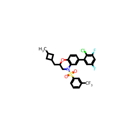 CC1CC(CC2CN(S(=O)(=O)c3cccc(C(F)(F)F)c3)c3cc(-c4cc(F)cc(F)c4Cl)ccc3O2)C1